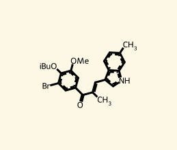 COc1cc(C(=O)/C(C)=C/c2c[nH]c3cc(C)ccc23)cc(Br)c1OCC(C)C